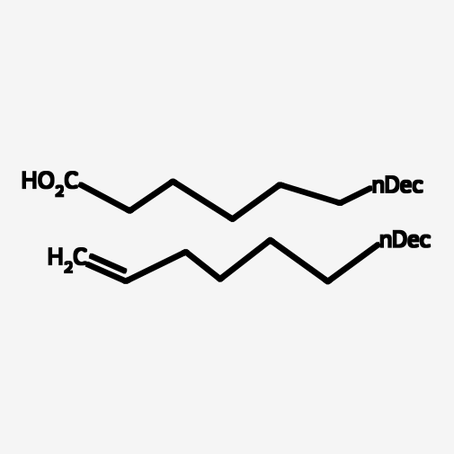 C=CCCCCCCCCCCCCCC.CCCCCCCCCCCCCCCC(=O)O